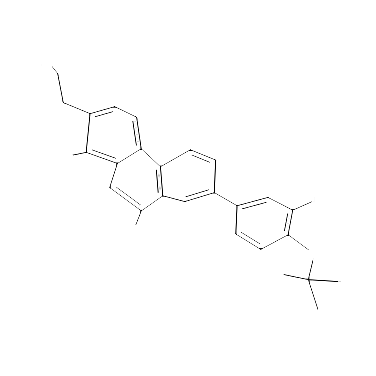 CCCc1ccc2c(cc(F)c3cc(-c4ccc(OC(F)(F)F)c(F)c4)ccc32)c1F